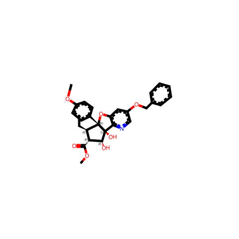 CC[C@@H]1[C@@H](C(=O)OC)[C@@H](O)[C@@]2(O)c3ncc(OCc4ccccc4)cc3O[C@@]12c1ccc(OC)cc1